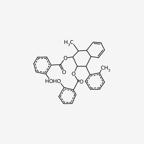 Cc1ccccc1C1C2C=CC=CC2C(C)C(OC(=O)c2ccccc2O)C1OC(=O)c1ccccc1O